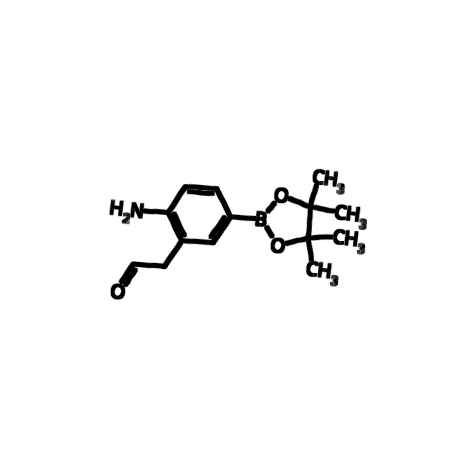 CC1(C)OB(c2ccc(N)c(CC=O)c2)OC1(C)C